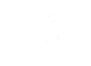 O=S(=O)([O-])C(F)C(F)(F)C(F)(F)C(F)(F)C(F)C(F)C(F)C(F)C(F)F.[Na+]